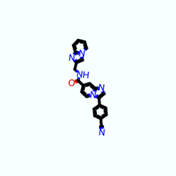 N#Cc1ccc(-c2cnc3cc(C(=O)NCc4cn5ccccc5n4)ccn23)cc1